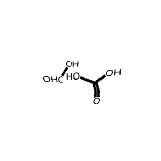 O=C(O)O.O=CO